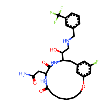 NC(=O)CC1NC(=O)CCCCCOc2cc(F)cc(c2)CC(C(O)CNCc2cccc(C(F)(F)F)c2)NC1=O